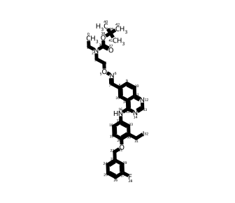 CCN(CCO/N=C/c1ccc2ncnc(Nc3ccc(OCc4cccc(F)c4)c(CI)c3)c2c1)C(=O)OC(C)(C)C